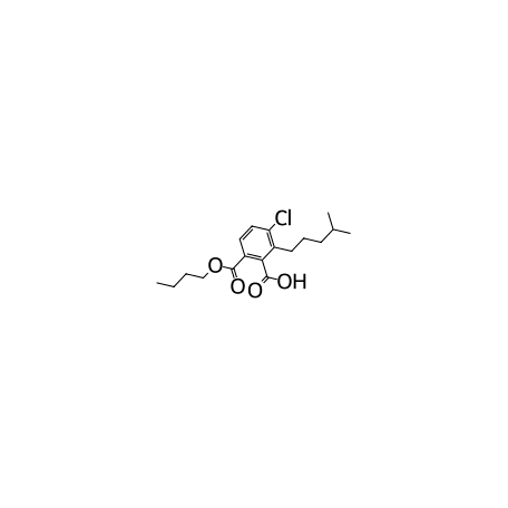 CCCCOC(=O)c1ccc(Cl)c(CCCC(C)C)c1C(=O)O